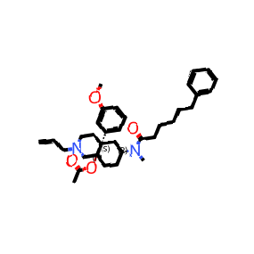 C=CCN1CC[C@@]2(c3cccc(OC)c3)C[C@H](N(C)C(=O)CCCCCc3ccccc3)CC[C@]2(OC(C)=O)C1